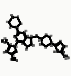 Cc1cn(-c2nc(N3CCOCC3)nc3c(CN4CCN(c5cnc(C)s5)CC4)csc23)c(C)n1